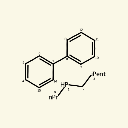 CCCPCC(C)CCC.c1ccc(-c2ccccc2)cc1